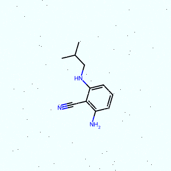 CC(C)CNc1cccc(N)c1C#N